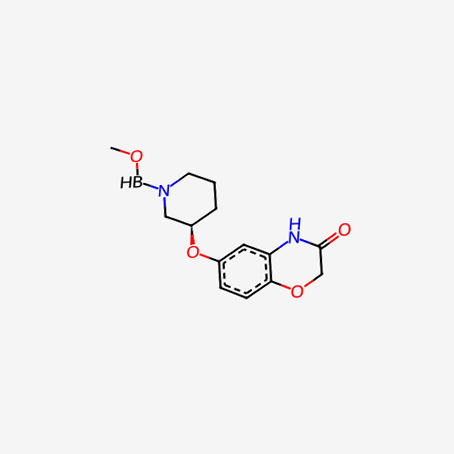 COBN1CCC[C@@H](Oc2ccc3c(c2)NC(=O)CO3)C1